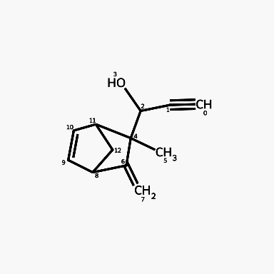 C#CC(O)C1(C)C(=C)C2C=CC1C2